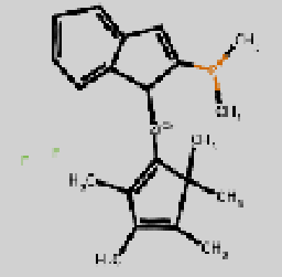 CC1=C(C)C(C)(C)[C]([Zr+2][CH]2C(P(C)C)=Cc3ccccc32)=C1C.[F-].[F-]